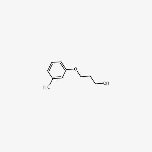 Cc1[c]ccc(OCCCO)c1